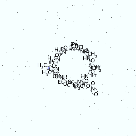 C/C=C/C[C@@H](C)[C@@H](O)[C@H]1C(=O)N[C@@H](CC)C(=O)N(C)CC(=O)N(C)[C@@H]([C@H](C)COC(=O)N2CCOCC2)C(=O)NC(C(C)C)C(=O)N(C)[C@@H](CC(C)C)C(=O)N[C@@H](C)C(=O)N[C@H](C)C(=O)N(C)[C@@H](CC(C)C)C(=O)N(C)[C@@H](CC(C)C)C(=O)N(C)C(C(C)C)C(=O)N1C